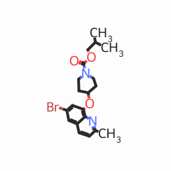 Cc1ccc2cc(Br)cc(OC3CCN(C(=O)OCC(C)C)CC3)c2n1